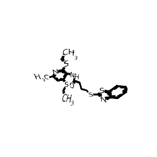 CCSc1cc(C)nc(SCC)c1NC(=O)CCCSc1nc2ccccc2s1